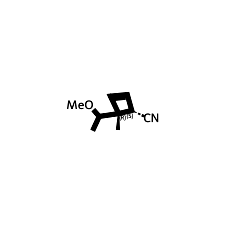 COC(C)[C@]1(C)C=C[C@@H]1C#N